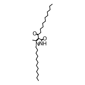 CCCCCCCCCCCCn1[nH]c(=O)c(C(=O)CCCCCCCCCCC)c1C